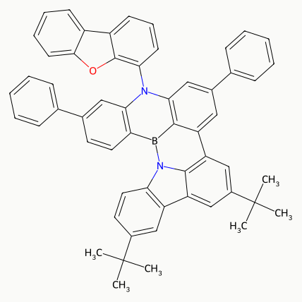 CC(C)(C)c1ccc2c(c1)c1cc(C(C)(C)C)cc3c1n2B1c2ccc(-c4ccccc4)cc2N(c2cccc4c2oc2ccccc24)c2cc(-c4ccccc4)cc-3c21